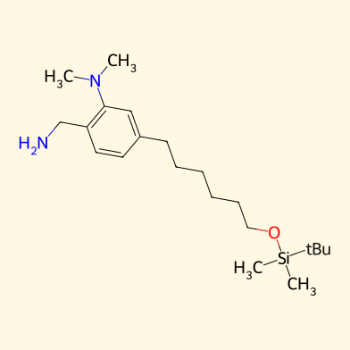 CN(C)c1cc(CCCCCCO[Si](C)(C)C(C)(C)C)ccc1CN